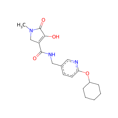 CN1CC(C(=O)NCc2ccc(OC3CCCCC3)nc2)=C(O)C1=O